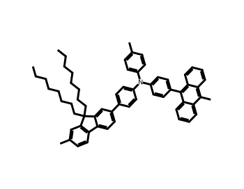 CCCCCCCCC1(CCCCCCCC)c2cc(C)ccc2-c2ccc(-c3ccc(N(c4ccc(C)cc4)c4ccc(-c5c6ccccc6c(C)c6ccccc56)cc4)cc3)cc21